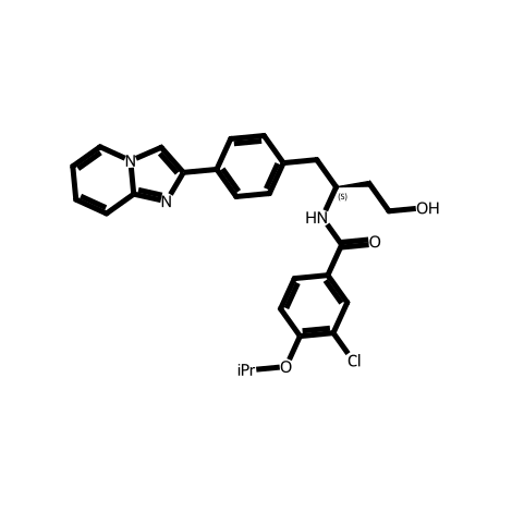 CC(C)Oc1ccc(C(=O)N[C@H](CCO)Cc2ccc(-c3cn4ccccc4n3)cc2)cc1Cl